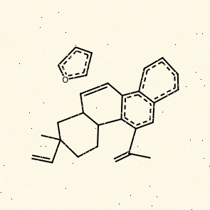 C=CC1(C)CCC2c3c(C(=C)C)cc4ccccc4c3C=CC2C1.c1ccoc1